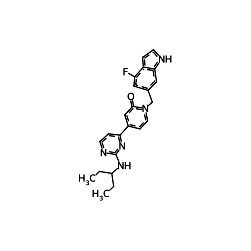 CCC(CC)Nc1nccc(-c2ccn(Cc3cc(F)c4cc[nH]c4c3)c(=O)c2)n1